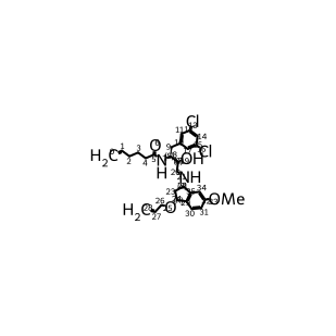 C=CCCCC(=O)N[C@@H](Cc1cc(Cl)cc(Cl)c1)[C@@H](O)CN[C@H]1C[C@@H](OCC=C)c2ccc(OC)cc21